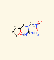 N=C(N)N(CC1CCCO1)C[N+](=O)[O-]